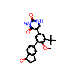 COc1c(-c2ccc3c(c2)CCC3=O)cc(-c2c[nH]c(=O)[nH]c2=O)cc1C(C)(C)C